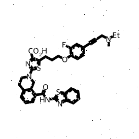 CCN(C)CC#Cc1ccc(OCCCc2sc(N3CCc4cccc(C(=O)Nc5nc6ccccc6s5)c4C3)nc2C(=O)O)c(F)c1